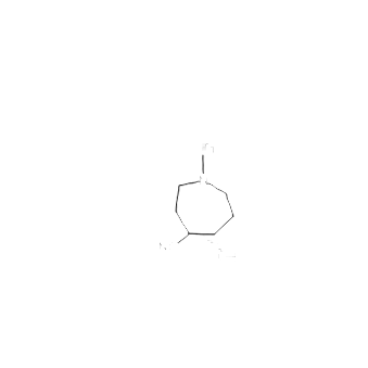 CC(C)N1CCC(C#N)[C@@H](O)CC1